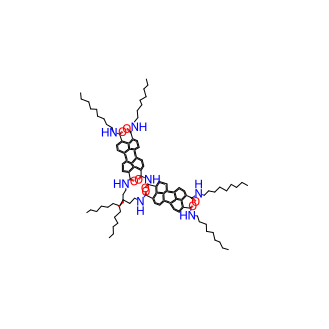 CCCCCCCCCCNC(=O)c1ccc2c3ccc(C(=O)NCCCCCCCCC)c4c(C(=O)NCCCCCCCCC)ccc(c5ccc(C(=O)NC(=O)c6ccc7c8ccc(C(=O)NCCCCCCCCC)c9c(C(=O)NCCCCCCCCC)ccc(c%10ccc(C(=O)NCCCCCCCCCC)c6c%107)c98)c1c25)c43